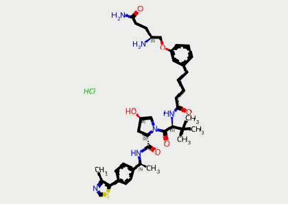 Cc1ncsc1-c1ccc([C@H](C)NC(=O)[C@@H]2C[C@@H](O)CN2C(=O)[C@@H](NC(=O)CCCCc2cccc(OC[C@@H](N)CCC(N)=O)c2)C(C)(C)C)cc1.Cl